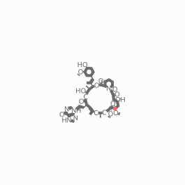 C=CC[C@@H]1/C=C(\C)C[C@H](C)C[C@H](OC)[C@H]2O[C@@](O)(C(=O)C(=O)N3CCCC[C@H]3C(=O)O[C@H](/C(C)=C/[C@@H]3CC[C@@H](O)[C@H](OC)C3)[C@H](C)[C@@H](O)CC1=O)[C@H](C)C[C@@H]2OC.O=c1nc[nH]c2nc[nH]c12